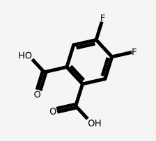 O=C(O)c1cc(F)c(F)cc1C(=O)O